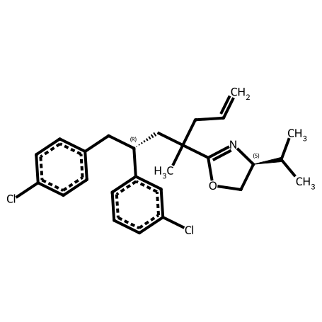 C=CCC(C)(C[C@@H](Cc1ccc(Cl)cc1)c1cccc(Cl)c1)C1=N[C@@H](C(C)C)CO1